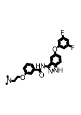 CN(C)CCOc1cccc(C(=O)Nc2n[nH]c3ccc(Oc4cc(F)cc(F)c4)cc23)c1